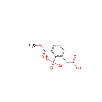 COC(=O)c1cccc(CC(=O)O)c1P(=O)(O)O